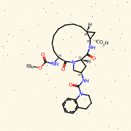 CC(C)(C)OC(=O)N[C@H]1CCCCCCC[C@@H]2C[C@@]2(C(=O)O)NC(=O)[C@@H]2C[C@@H](NC(=O)N3CCCc4ccccc43)CN2C1=O